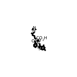 Cc1cc(C)c2c(Cn3c(=O)n([C@H](CCCC(C)Cn4ccnc4)C(=O)O)c(=O)c4ccccc43)nsc2c1